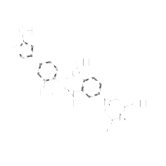 COc1ccc(N2CC(C)NC(C)C2)cc1NS(=O)(=O)c1ccc(-c2csc(C)c2)cc1F